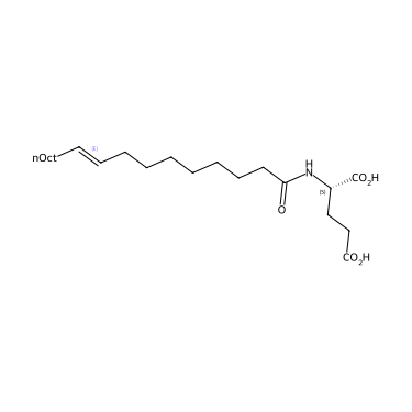 CCCCCCCC/C=C/CCCCCCCC(=O)N[C@@H](CCC(=O)O)C(=O)O